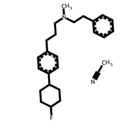 CC#N.CN(CCCc1ccc(C2CCC(F)CC2)cc1)CCc1ccccc1